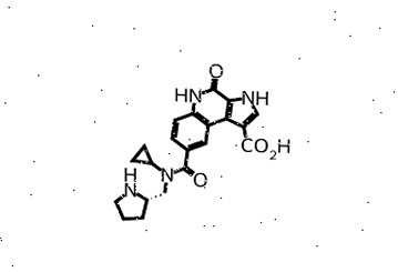 O=C(O)c1c[nH]c2c(=O)[nH]c3ccc(C(=O)N(C[C@@H]4CCCN4)C4CC4)cc3c12